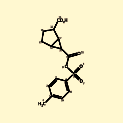 Cc1ccc(S(=O)(=O)OC(=O)C2C3CCC(C(=O)O)C32)cc1